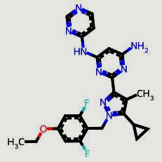 CCOc1cc(F)c(Cn2nc(-c3nc(N)cc(Nc4ccncn4)n3)c(C)c2C2CC2)c(F)c1